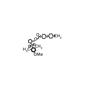 COc1cc(C)c(S(=O)(=O)C2CCCC2COCC(=O)N2CCN(C3CCN(C)CC3)CC2)c(C)c1